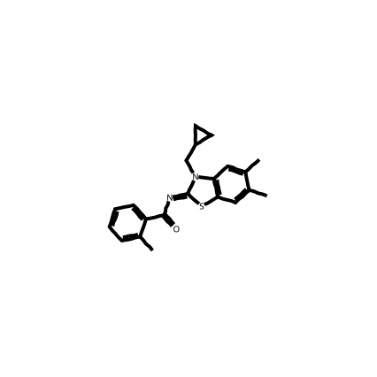 Cc1cc2s/c(=N\C(=O)c3ccccc3C)n(CC3CC3)c2cc1C